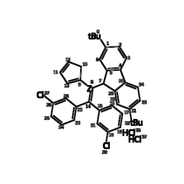 CC(C)(C)c1ccc2c(c1)[CH]([Zr]([C]1=CC=CC1)=[C](c1cccc(Cl)c1)c1cccc(Cl)c1)c1cc(C(C)(C)C)ccc1-2.Cl.Cl